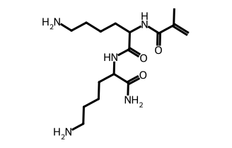 C=C(C)C(=O)NC(CCCCN)C(=O)NC(CCCCN)C(N)=O